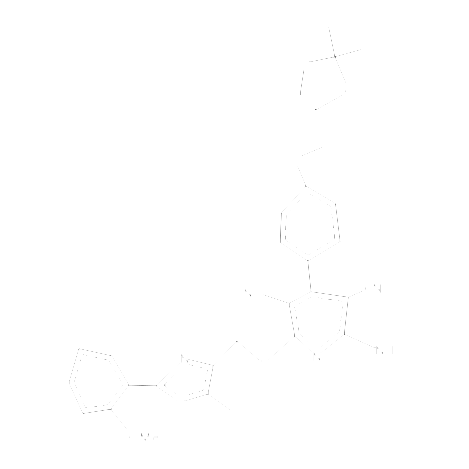 COc1ccccc1-c1nc(CSc2nc(N)c(C#N)c(-c3ccc(OC[C@@H]4COC(C)(C)O4)cc3)c2C#N)c(C)o1